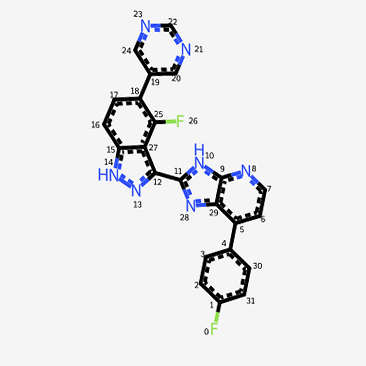 Fc1ccc(-c2ccnc3[nH]c(-c4n[nH]c5ccc(-c6cncnc6)c(F)c45)nc23)cc1